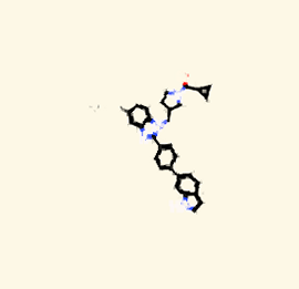 COc1ccc2c(c1)nc(-c1ccc(-c3ccc4cc[nH]c4c3)cc1)n2CC1CCN(C(=O)C2CC2)C1